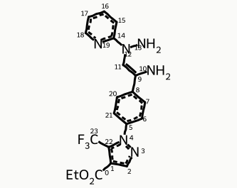 CCOC(=O)c1cnn(-c2ccc(/C(N)=C/N(N)c3ccccn3)cc2)c1C(F)(F)F